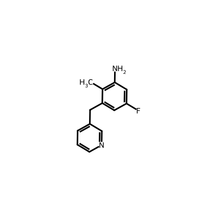 Cc1c(N)cc(F)cc1Cc1cccnc1